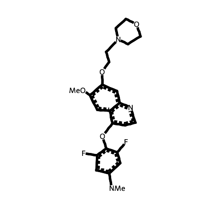 CNc1cc(F)c(Oc2ccnc3cc(OCCN4CCOCC4)c(OC)cc23)c(F)c1